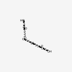 O=C(CCSCSCCOOCCSCSCC(=O)OCSCSCSCC(=O)OCCSCCO)OCCSCCO